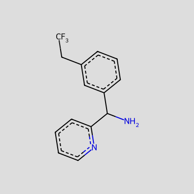 NC(c1cccc(CC(F)(F)F)c1)c1ccccn1